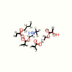 C=C(C)C(=O)OC.C=C(C)C(=O)OCCNC(C)(C)C.C=C(O)C(=O)OCC.C=CC(=O)OCCCC